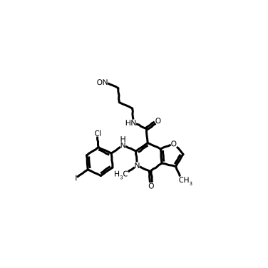 Cc1coc2c(C(=O)NCCCN=O)c(Nc3ccc(I)cc3Cl)n(C)c(=O)c12